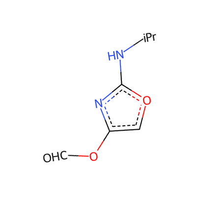 CC(C)Nc1nc(OC=O)co1